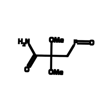 COC(CP=O)(OC)C(N)=O